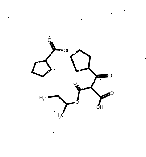 CCC(C)OC(=O)C(C(=O)O)C(=O)C1CCCC1.O=C(O)C1CCCC1